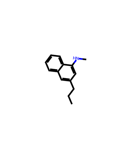 CCCc1cc(NC)c2ccccc2c1